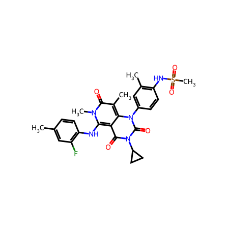 Cc1ccc(Nc2c3c(=O)n(C4CC4)c(=O)n(-c4ccc(NS(C)(=O)=O)c(C)c4)c3c(C)c(=O)n2C)c(F)c1